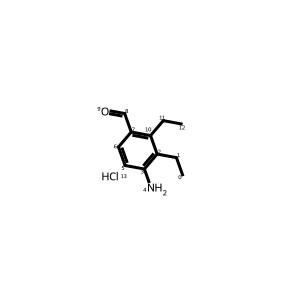 CCc1c(N)ccc(C=O)c1CC.Cl